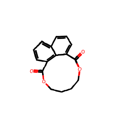 O=C1OCCCCOC(=O)c2cccc3cccc1c23